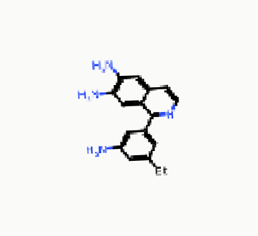 CCc1cc(N)cc(-c2nccc3cc(N)c(N)cc23)c1